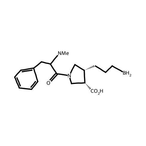 BCCC[C@H]1CN(C(=O)C(Cc2ccccc2)NC)C[C@H]1C(=O)O